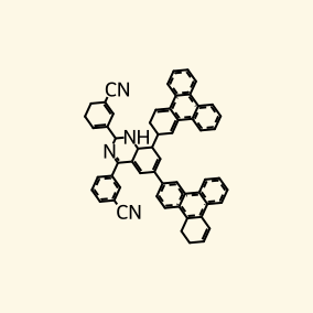 N#CC1=CC(C2N=C(c3cccc(C#N)c3)C3=CC(c4ccc5c6c(c7ccccc7c5c4)C=CCC6)=CC(C4C=c5c(c6ccccc6c6ccccc56)=CC4)C3N2)=CCC1